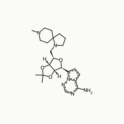 CN1CCC2(CCCN2C[C@H]2O[C@@H](c3ccc4c(N)ncnn34)[C@@H]3OC(C)(C)O[C@@H]32)CC1